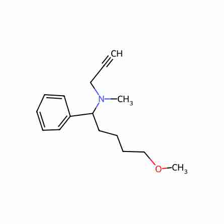 C#CCN(C)C(CCCCOC)c1ccccc1